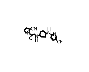 N#CC1CCCN1C(=O)CNC1CCC(Nc2ccc(C(F)(F)F)cn2)CC1